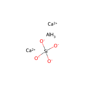 [AlH3].[Ca+2].[Ca+2].[O-][Si]([O-])([O-])[O-]